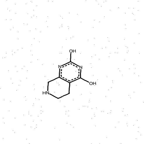 Oc1nc(O)c2c(n1)CNCC2